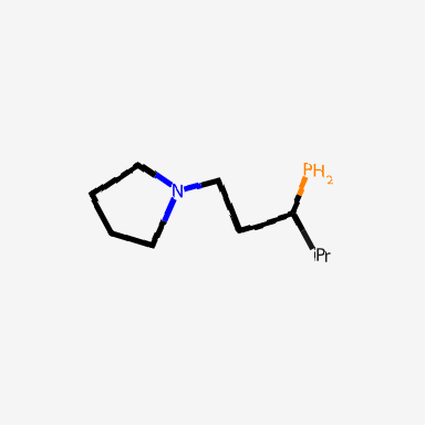 CC(C)C(P)CCN1CCCC1